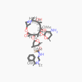 CCN(CCNC(=S)O[C@H]1[C@H](C)O[C@@H](O[C@H]2[C@H](C)[C@@H](O[C@@H]3O[C@H](C)C[C@H](N)[C@H]3O)[C@@](C)(OC)C[C@@H](C)[C@H](O)[C@H](C)N3CC(C3)OC(=O)[C@@H]2C)C[C@@]1(C)OC)[C@@H](C)c1ccccc1OC